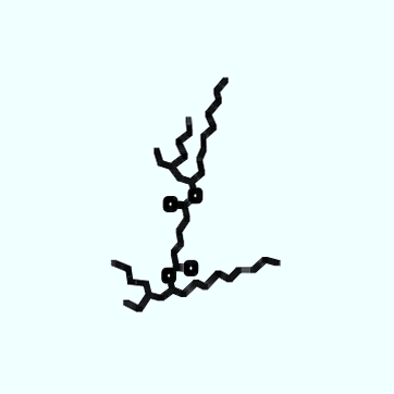 CCCCCCCCCC(CC(CC)CCCC)OC(=O)CCCCC(=O)OC(CCCCCCCCC)CC(CC)CCCC